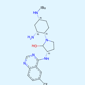 CC(C)(C)N[C@@H]1CC[C@H](N2CC[C@H](Nc3ncnc4ccc(C(F)(F)F)cc34)C2O)[C@H](N)C1